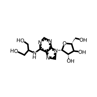 OCC(CO)Nc1ncnc2c1ncn2[C@@H]1O[C@H](CO)C(O)[C@@H]1O